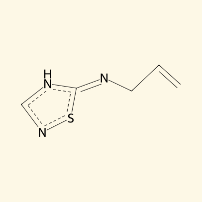 C=CCN=c1[nH]cns1